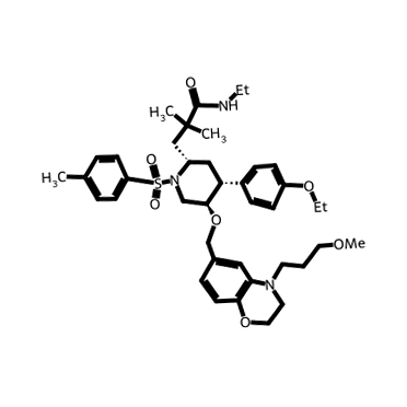 CCNC(=O)C(C)(C)C[C@@H]1C[C@H](c2ccc(OCC)cc2)[C@@H](OCc2ccc3c(c2)N(CCCOC)CCO3)CN1S(=O)(=O)c1ccc(C)cc1